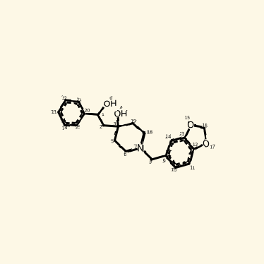 OC(CC1(O)CCN(Cc2ccc3c(c2)OCO3)CC1)c1ccccc1